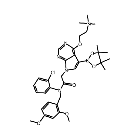 COc1ccc(CN(C(=O)Cn2cc(B3OC(C)(C)C(C)(C)O3)c3c(OCC[Si](C)(C)C)ncnc32)c2ccccc2Cl)c(OC)c1